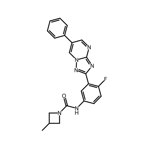 CC1CN(C(=O)Nc2ccc(F)c(-c3nc4ncc(-c5ccccc5)cn4n3)c2)C1